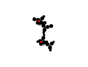 CC(C)(C)c1ccc(N(C2=CCC(c3ccccc3)C=C2)c2cc3c(c4oc5ccccc5c24)-c2ccc(N(c4ccc(-c5ccccc5)cc4)c4ccc(C(C)(C)CC[Si](C)(C)c5ccc(N(c6ccc(C(C)(C)C)cc6)c6cc7c(c8oc9ccccc9c68)-c6ccc(N(c8ccc(C(C)(C)C)cc8)c8ccc([Si](C)(C)C)cc8)cc6C7(C)C)cc5)cc4)cc2C32C=CC=C2)cc1